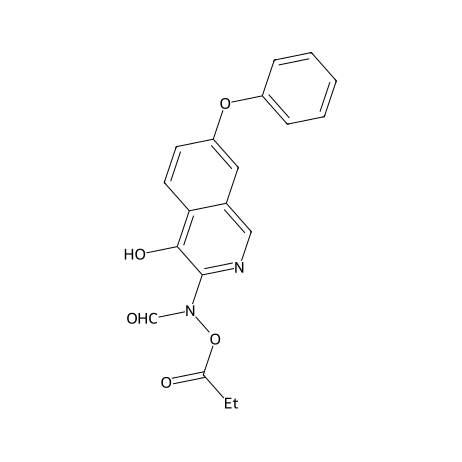 CCC(=O)ON(C=O)c1ncc2cc(Oc3ccccc3)ccc2c1O